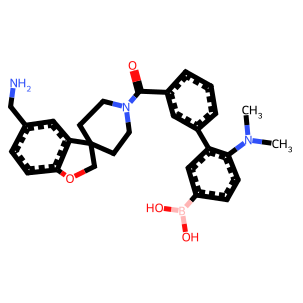 CN(C)c1ccc(B(O)O)cc1-c1cccc(C(=O)N2CCC3(CC2)COc2ccc(CN)cc23)c1